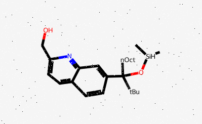 CCCCCCCCC(O[SiH](C)C)(c1ccc2ccc(CO)nc2c1)C(C)(C)C